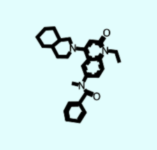 CCn1c(=O)cc(N2CCC3CCCCC3C2)c2cc(N(C)C(=O)C3=C=C=CC=C3)ccc21